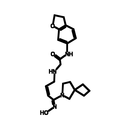 O=C(CNC/C=C\C(=N/O)N1CCC2(CCC2)C1)Nc1ccc2c(c1)OCC2